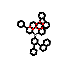 c1ccc(-c2ccc(N(c3ccc(-c4ccccc4)c(-c4cccc5ccccc45)c3)c3ccccc3-c3ccccc3-n3c4ccccc4c4ccccc43)c(-c3ccccc3)c2)cc1